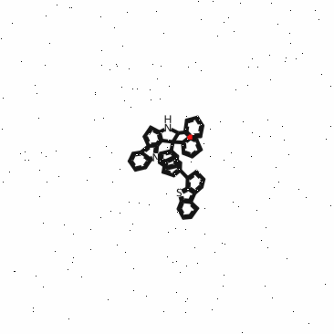 c1ccc(C2Nc3ccc4c5ccccc5n(-c5ccc(-c6cccc7c6sc6ccccc67)cc5)c4c3C2(c2ccccc2)c2ccccc2)cc1